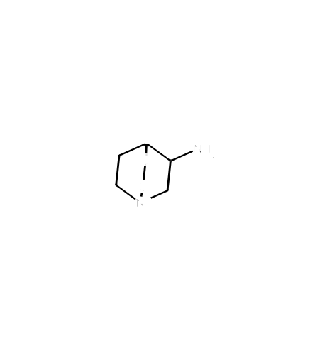 NC1C[N+]2CCC1CC2